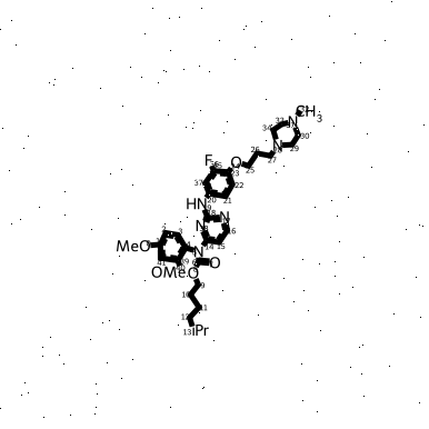 COc1ccc(N(C(=O)OCCCCC(C)C)c2ccnc(Nc3ccc(OCCCN4CCN(C)CC4)c(F)c3)n2)c(OC)c1